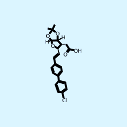 CC1(C)O[C@H]2O[C@H](/C=C/c3ccc(-c4ccc(Cl)cc4)cc3)[C@@H](CC(=O)O)[C@H]2O1